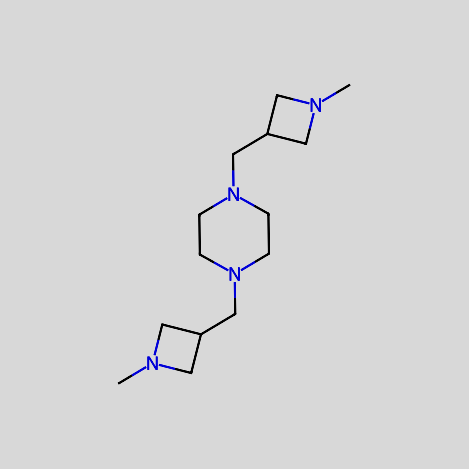 CN1CC(CN2CCN(CC3CN(C)C3)CC2)C1